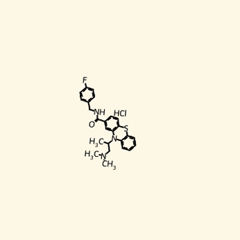 CC(CN(C)C)N1c2ccccc2Sc2ccc(C(=O)NCc3ccc(F)cc3)cc21.Cl